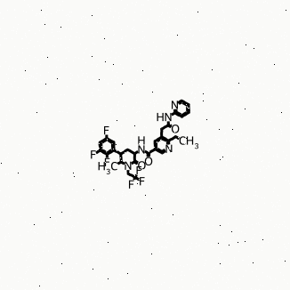 CCc1ncc(C(=O)NC2CC(c3cc(F)cc(F)c3F)C(C)N(CC(F)(F)F)C2=O)cc1CC(=O)Nc1ccccn1